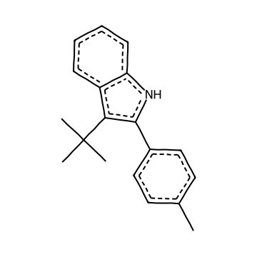 Cc1ccc(-c2[nH]c3ccccc3c2C(C)(C)C)cc1